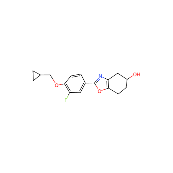 OC1CCc2oc(-c3ccc(OCC4CC4)c(F)c3)nc2C1